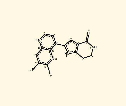 O=C1NCCc2[nH]c(-c3ccnc4cc(F)c(F)nc34)cc21